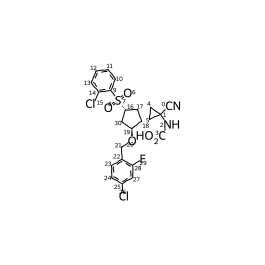 N#CC1(NC(=O)O)CC1.O=S(=O)(c1ccccc1Cl)[C@@H]1CC[C@@H](OCc2ccc(Cl)cc2F)C1